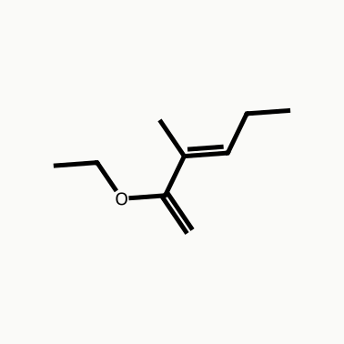 C=C(OCC)C(C)=CCC